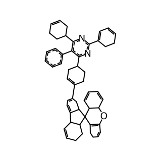 C1=CCCC(c2nc(C3CC=CCC3)c(-c3ccccc3)c(C3CC=C(C4=CC=C5C6C=CCCC6C6(C7=C(C=CCC7)OC7C=CC=CC76)C5C4)CC3)n2)=C1